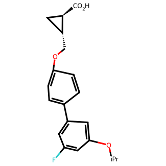 CC(C)Oc1cc(F)cc(-c2ccc(OC[C@@H]3C[C@H]3C(=O)O)cc2)c1